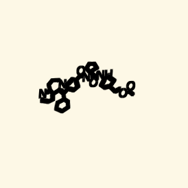 CC(=O)O/C=C/c1ccc(NC(=O)C2(NC(=O)c3ccc4c(C5CCCCC5)c5n(c4c3)CCCc3ncccc3-5)CCCC2)cc1